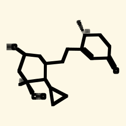 C[C@@H]1CCC(=O)C=C1CCC1CC(O)C[C@](C)(C=O)C1C1CC1